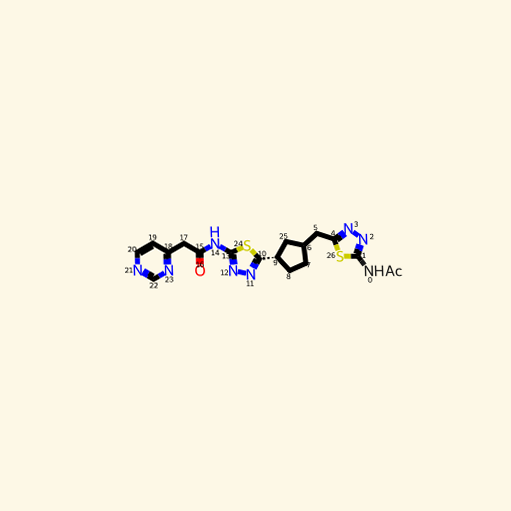 CC(=O)Nc1nnc(CC2CC[C@H](c3nnc(NC(=O)Cc4ccncn4)s3)C2)s1